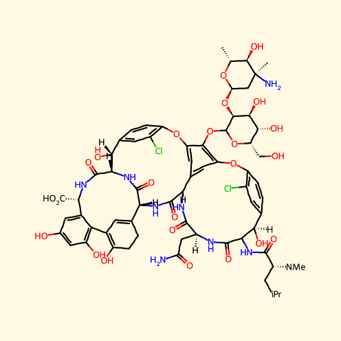 CN[C@H](CC(C)C)C(=O)NC1C(=O)N[C@@H](CC(N)=O)C(=O)N[C@H]2C(=O)N[C@H]3C(=O)N[C@H](C(=O)N[C@@H](C(=O)O)c4cc(O)cc(O)c4C4=C(O)CCC3=C4)[C@H](O)c3ccc(c(Cl)c3)Oc3cc2cc(c3OC2O[C@@H](CO)[C@@H](O)[C@H](O)[C@@H]2O[C@@H]2C[C@](C)(N)[C@H](O)[C@@H](C)O2)Oc2ccc(cc2Cl)[C@H]1O